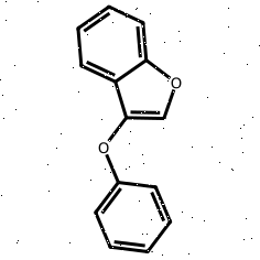 [c]1ccc(Oc2coc3ccccc23)cc1